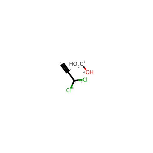 C#CC(Cl)Cl.O=C(O)O